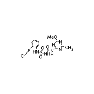 COc1nc(C)nc(NC(=O)NS(=O)(=O)Nc2ccccc2C#CCl)n1